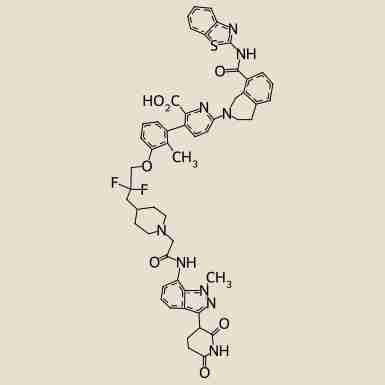 Cc1c(OCC(F)(F)CC2CCN(CC(=O)Nc3cccc4c(C5CCC(=O)NC5=O)nn(C)c34)CC2)cccc1-c1ccc(N2CCc3cccc(C(=O)Nc4nc5ccccc5s4)c3C2)nc1C(=O)O